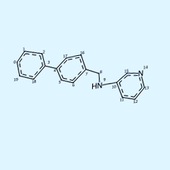 c1ccc(-c2ccc(CNc3cccnc3)cc2)cc1